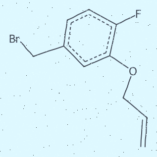 C=CCOc1cc(CBr)ccc1F